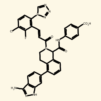 Nc1n[nH]c2cc(-c3cccc4c3CCN(C(=O)/C=C/c3c(-n5cnnn5)ccc(Cl)c3F)C4C(=O)Nc3ccc(C(=O)O)cc3)ccc12